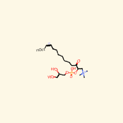 CCCCCCCC/C=C\CCCCCCCC(=O)C(C[N+](C)(C)C)OP(=O)(O)OCC(O)CO